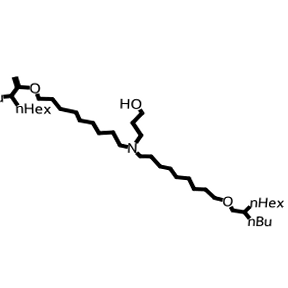 C=C(OCCCCCCCCCN(CCCO)CCCCCCCCCOCC(CCCC)CCCCCC)C(CCCC)CCCCCC